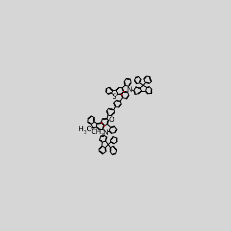 CC1(C)c2ccccc2-c2ccc(N(c3ccc4c(c3)C(c3ccccc3)(c3ccccc3)c3ccccc3-4)c3ccccc3-c3cccc4c3oc3cc(-c5ccc(-c6ccc(N(c7ccc8c(c7)C(c7ccccc7)(c7ccccc7)c7ccccc7-8)c7ccccc7-c7ccc8sc9ccccc9c8c7)cc6)cc5)ccc34)cc21